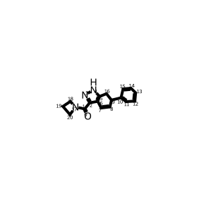 O=C(c1n[nH]c2c1C=CC(c1ccccc1)C2)N1CCC1